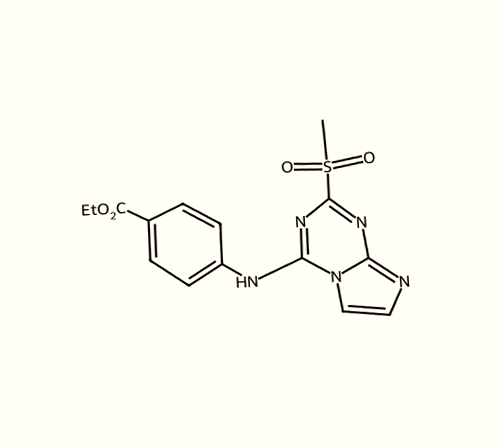 CCOC(=O)c1ccc(Nc2nc(S(C)(=O)=O)nc3nccn23)cc1